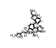 NCc1nc2c(-c3ccc(S(=O)(=O)NC[C@H](O)CN)c(S(N)(=O)=O)c3-c3nn[nH]n3)cccc2[nH]1